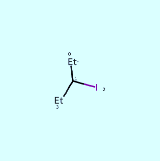 C[CH]C(I)CC